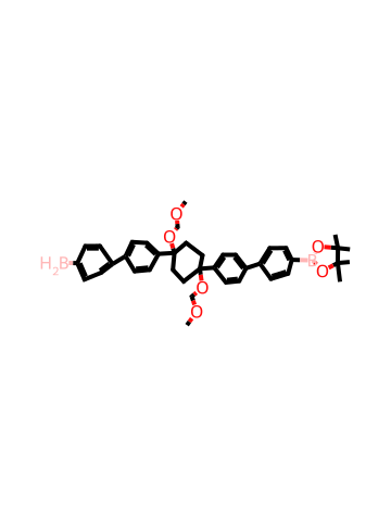 Bc1ccc(-c2ccc(C3(OCOC)CCC(OCOC)(c4ccc(-c5ccc(B6OC(C)(C)C(C)(C)O6)cc5)cc4)CC3)cc2)cc1